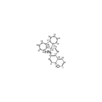 C1=COC2C=CC3=C(C=CC4(N3)c3ccccc3-c3ccccc34)C2=C1